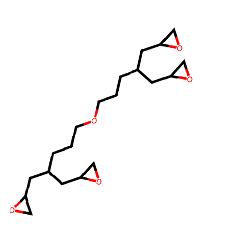 C(COCCCC(CC1CO1)CC1CO1)CC(CC1CO1)CC1CO1